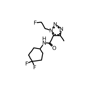 Cc1nnn(CCF)c1C(=O)NC1CCC(F)(F)CC1